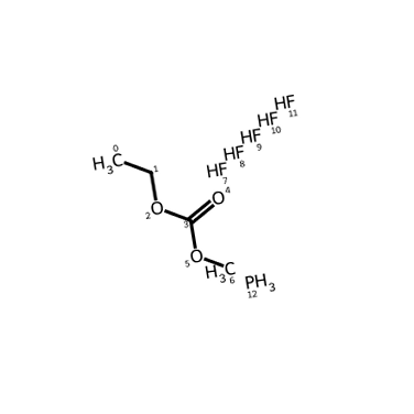 CCOC(=O)OC.F.F.F.F.F.P